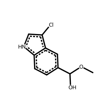 COC(O)c1ccc2[nH]cc(Cl)c2c1